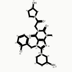 Cn1c(=O)n(CC(=O)N2CCC(O)C2)c(=O)c2c1nc(N1CCCC(N)C1)n2Cc1ccccc1Cl